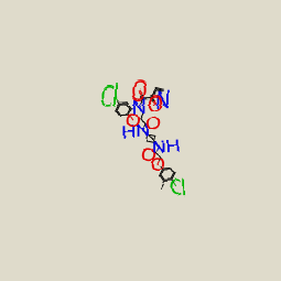 Cc1cc(OCC(=O)NC23CC(NC(=O)C4CN(C(=O)c5ccno5)c5cc(Cl)ccc5O4)(C2)C3)ccc1Cl